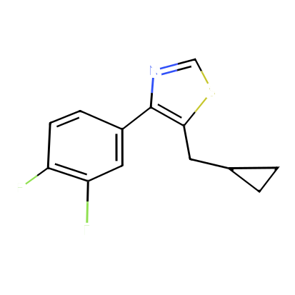 Fc1ccc(-c2ncsc2CC2CC2)cc1F